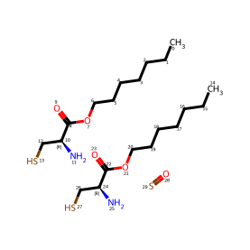 CCCCCCCOC(=O)[C@@H](N)CS.CCCCCCCOC(=O)[C@@H](N)CS.O=S